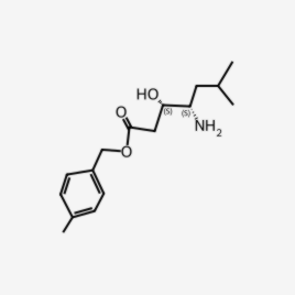 Cc1ccc(COC(=O)C[C@H](O)[C@@H](N)CC(C)C)cc1